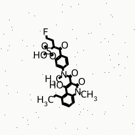 CCc1cccc2c1c(O)c(C(=O)N(C)c1ccc(C(=O)C(CCF)S(=O)(=O)O)cc1)c(=O)n2C